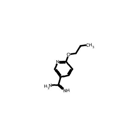 CCCOc1ccc(C(=N)N)cn1